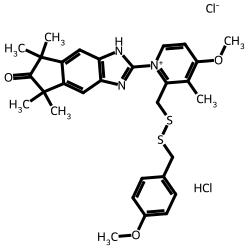 COc1ccc(CSSCc2c(C)c(OC)cc[n+]2-c2nc3cc4c(cc3[nH]2)C(C)(C)C(=O)C4(C)C)cc1.Cl.[Cl-]